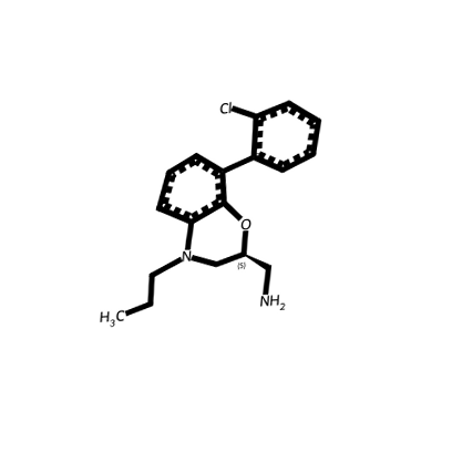 CCCN1C[C@H](CN)Oc2c(-c3ccccc3Cl)cccc21